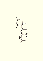 C=C(C)/C(=C\C(=C/C)C(=C(C)C)/C(C)=C\C(C)C)N=C(C)C